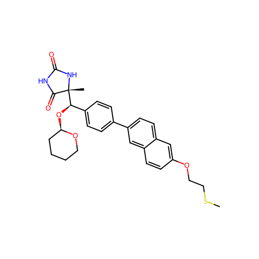 CSCCOc1ccc2cc(-c3ccc([C@@H](O[C@@H]4CCCCO4)[C@@]4(C)NC(=O)NC4=O)cc3)ccc2c1